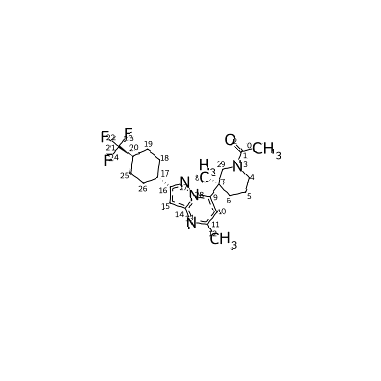 CC(=O)N1CCC[C@@](C)(c2cc(C)nc3cc([C@H]4CC[C@H](C(F)(F)F)CC4)nn23)C1